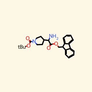 CC(C)(C)OC(=O)N1CCC(C(N)C(=O)OCC2c3ccccc3-c3ccccc32)CC1